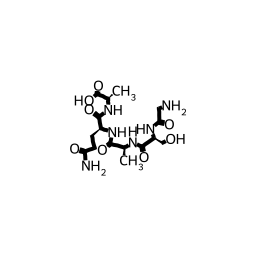 C[C@H](NC(=O)[C@H](CCC(N)=O)NC(=O)[C@H](C)NC(=O)[C@H](CO)NC(=O)CN)C(=O)O